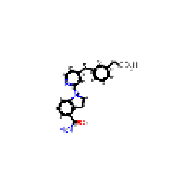 NC(=O)c1cccc2c1CCN2c1cc(Cc2cccc(CC(=O)O)c2)ccn1